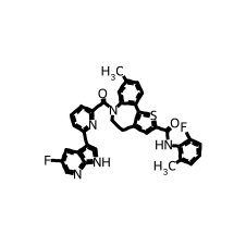 Cc1ccc2c(c1)N(C(=O)c1cccc(-c3c[nH]c4ncc(F)cc34)n1)CCc1cc(C(=O)Nc3c(C)cccc3F)sc1-2